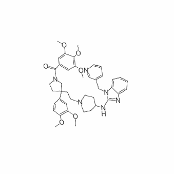 COc1ccc(C2(CCN3CCC(Nc4nc5ccccc5n4Cc4cccnc4)CC3)CCN(C(=O)c3cc(OC)c(OC)c(OC)c3)C2)cc1OC